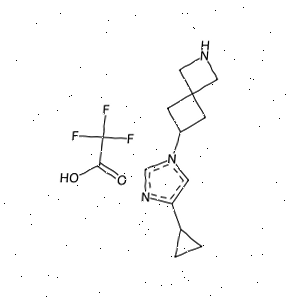 O=C(O)C(F)(F)F.c1nc(C2CC2)cn1C1CC2(CNC2)C1